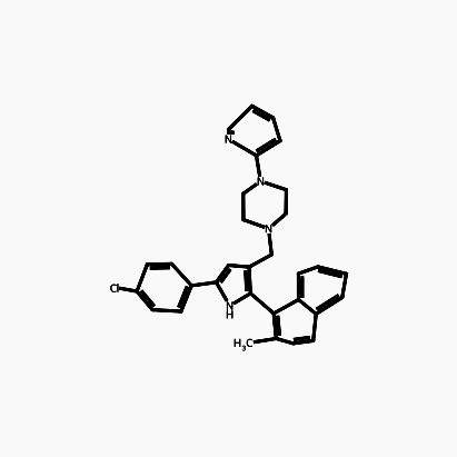 Cc1ccc2ccccc2c1-c1[nH]c(-c2ccc(Cl)cc2)cc1CN1CCN(c2ccccn2)CC1